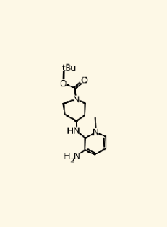 CN1C=CC=C(N)C1NC1CCN(C(=O)OC(C)(C)C)CC1